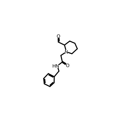 O=CC1CCCCN1CC(=O)NCc1ccccc1